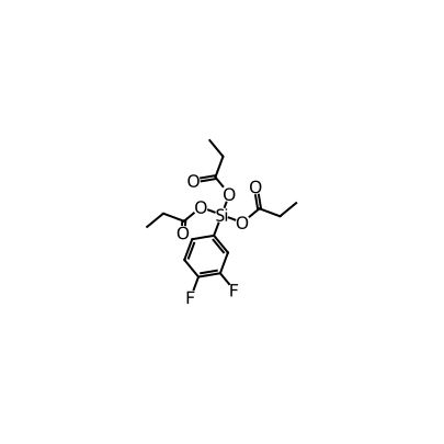 CCC(=O)O[Si](OC(=O)CC)(OC(=O)CC)c1ccc(F)c(F)c1